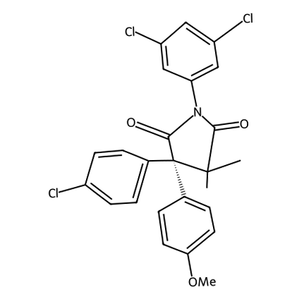 COc1ccc([C@]2(c3ccc(Cl)cc3)C(=O)N(c3cc(Cl)cc(Cl)c3)C(=O)C2(C)C)cc1